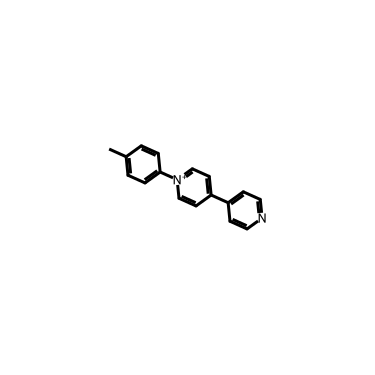 Cc1ccc(-[n+]2ccc(-c3ccncc3)cc2)cc1